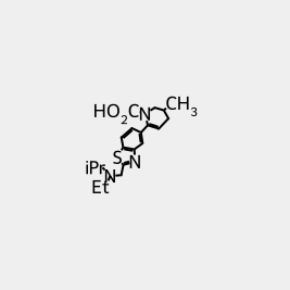 CCN(Cc1nc2cc(C3=CCC(C)CN3C(=O)O)ccc2s1)C(C)C